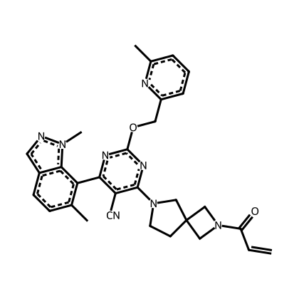 C=CC(=O)N1CC2(CCN(c3nc(OCc4cccc(C)n4)nc(-c4c(C)ccc5cnn(C)c45)c3C#N)C2)C1